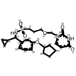 O=c1ccn(COCCCS(=O)(=O)NC(c2cccc(OC3CCCC3)c2)C2CC2)c(=O)[nH]1